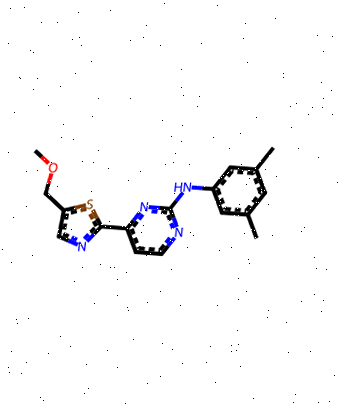 COCc1cnc(-c2ccnc(Nc3cc(C)cc(C)c3)n2)s1